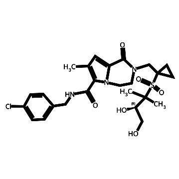 Cc1cc2n(c1C(=O)NCc1ccc(Cl)cc1)CCN(CC1(S(=O)(=O)C(C)(C)[C@H](O)CO)CC1)C2=O